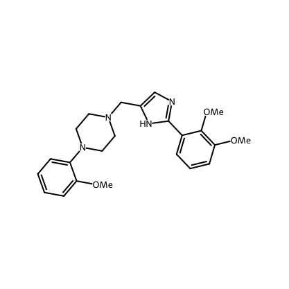 COc1ccccc1N1CCN(Cc2cnc(-c3cccc(OC)c3OC)[nH]2)CC1